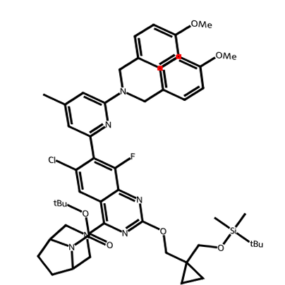 COc1ccc(CN(Cc2ccc(OC)cc2)c2cc(C)cc(-c3c(Cl)cc4c(N5CC6CCC(C5)N6C(=O)OC(C)(C)C)nc(OCC5(CO[Si](C)(C)C(C)(C)C)CC5)nc4c3F)n2)cc1